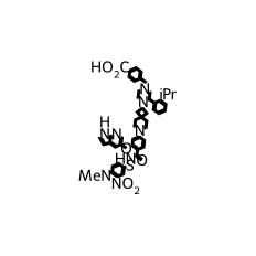 CNc1ccc(SNC(=O)c2ccc(N3CCC4(CC3)CC(N3CCN(Cc5ccc(C(=O)O)cc5)CC3c3ccccc3C(C)C)C4)cc2Oc2cnc3[nH]ccc3c2)cc1[N+](=O)[O-]